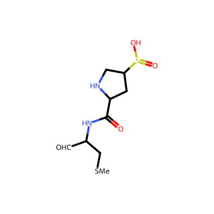 CSCC(C=O)NC(=O)C1CC(S(=O)O)CN1